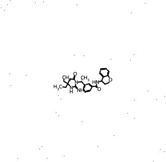 CCC1(CC)CC(=O)N([C@H](C)c2cccc(C(=O)NC3CCOc4ccccc43)c2)C(=N)N1